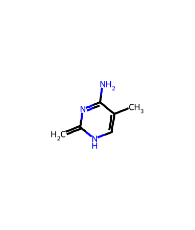 C=C1N=C(N)C(C)=CN1